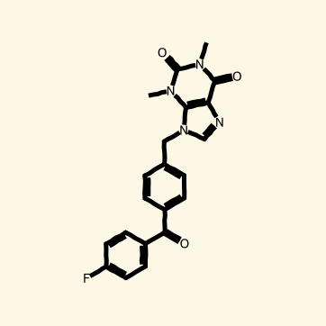 Cn1c(=O)c2ncn(Cc3ccc(C(=O)c4ccc(F)cc4)cc3)c2n(C)c1=O